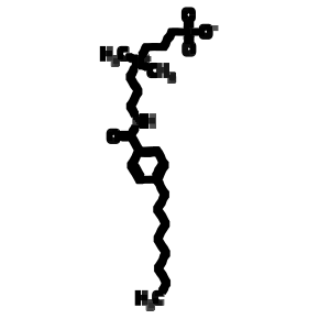 CCCCCCCCc1ccc(C(=O)NCCC[N+](C)(C)CCCS(=O)(=O)[O-])cc1